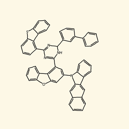 c1ccc(-c2cccc(C3N=C(c4cccc5sc6ccccc6c45)N=C(c4cc(-n5c6ccccc6c6cc7ccccc7cc65)cc5oc6ccccc6c45)N3)c2)cc1